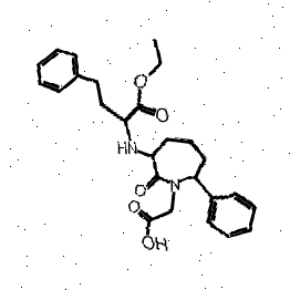 CCOC(=O)C(CCc1ccccc1)NC1CCCC(c2ccccc2)N(CC(=O)O)C1=O